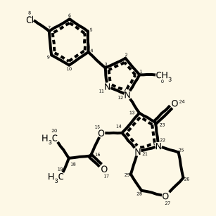 Cc1cc(-c2ccc(Cl)cc2)nn1-c1c(OC(=O)C(C)C)n2n(c1=O)CCOCC2